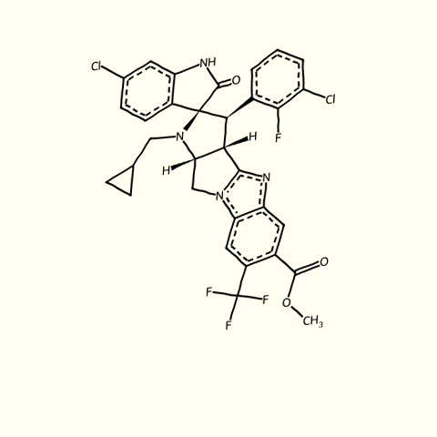 COC(=O)c1cc2nc3n(c2cc1C(F)(F)F)C[C@H]1[C@@H]3[C@H](c2cccc(Cl)c2F)[C@]2(C(=O)Nc3cc(Cl)ccc32)N1CC1CC1